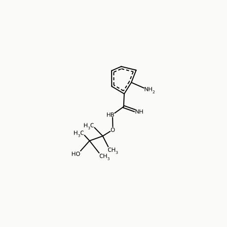 CC(C)(O)C(C)(C)OBC(=N)c1ccccc1N